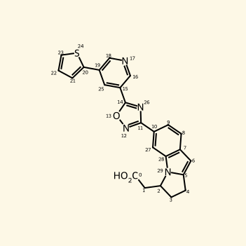 O=C(O)CC1CCc2cc3ccc(-c4noc(-c5cncc(-c6cccs6)c5)n4)cc3n21